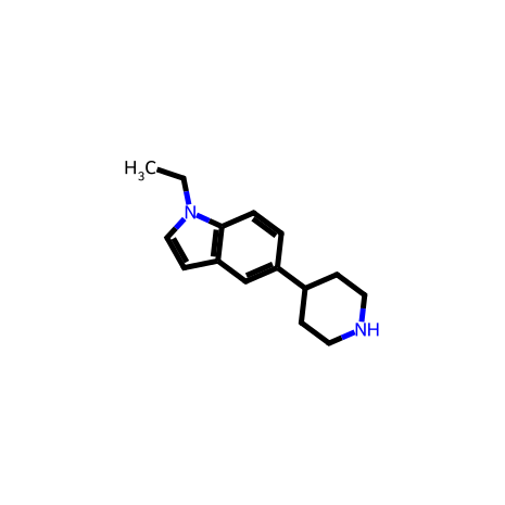 CCn1ccc2cc(C3CCNCC3)ccc21